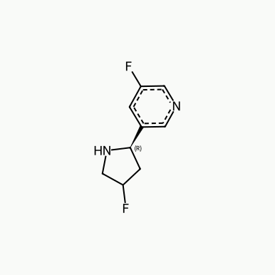 Fc1cncc([C@H]2CC(F)CN2)c1